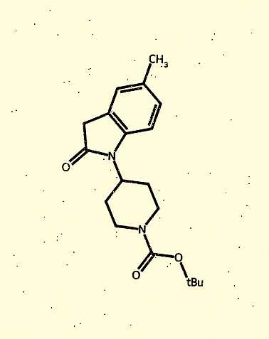 Cc1ccc2c(c1)CC(=O)N2C1CCN(C(=O)OC(C)(C)C)CC1